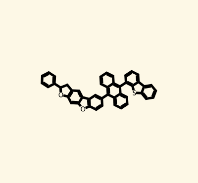 c1ccc(C2Cc3cc4c(cc3O2)oc2ccc(-c3c5ccccc5c(-c5cccc6c5sc5ccccc56)c5ccccc35)cc24)cc1